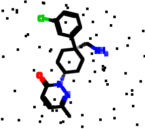 Cc1ccc(=O)n([C@H]2CC[C@](CN)(c3cccc(Cl)c3)CC2)n1